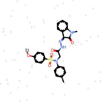 CCOc1ccc(S(=O)(=O)N(CC(=O)N/N=C2\C(=O)N(C)c3ccccc32)c2ccc(C)cc2)cc1